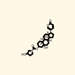 C[C@]12CC[C@H](OC(=O)N3CCC(O)C3)C[C@@]1(O)CC[C@@H]1[C@@H]2CC[C@]2(C)[C@@H](c3ccc(=O)oc3)CC[C@]12O